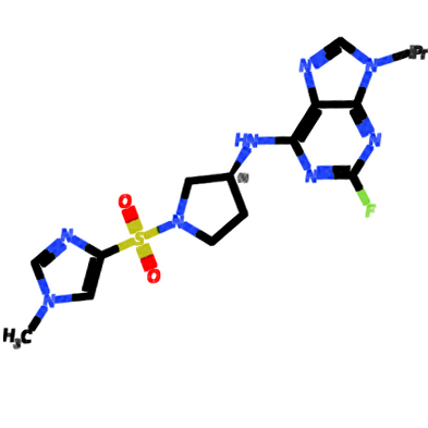 CC(C)n1cnc2c(N[C@H]3CCN(S(=O)(=O)c4cn(C)cn4)C3)nc(F)nc21